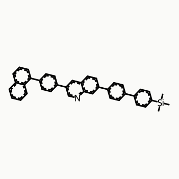 C[Si](C)(C)c1ccc(-c2ccc(-c3ccc4cc(-c5ccc(-c6cccc7ccccc67)cc5)cnc4c3)cc2)cc1